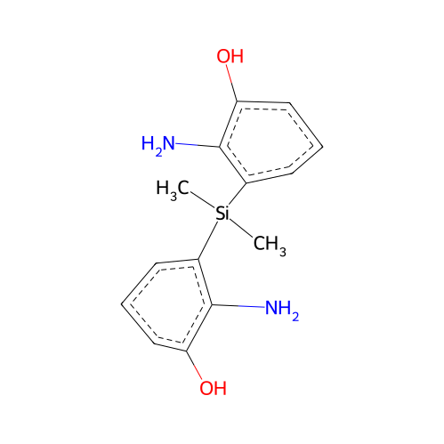 C[Si](C)(c1cccc(O)c1N)c1cccc(O)c1N